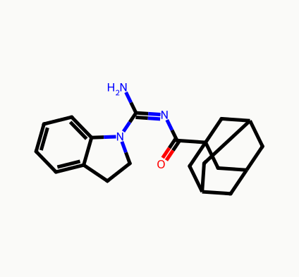 NC(=NC(=O)C12CC3CC(CC(C3)C1)C2)N1CCc2ccccc21